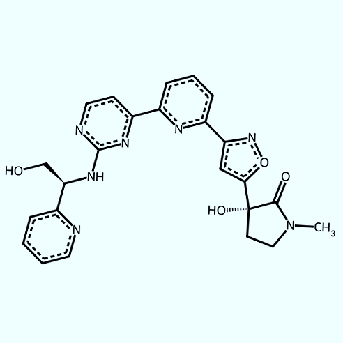 CN1CC[C@@](O)(c2cc(-c3cccc(-c4ccnc(N[C@H](CO)c5ccccn5)n4)n3)no2)C1=O